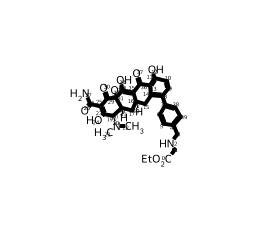 CCOC(=O)CNCc1ccc(-c2ccc(O)c3c2C[C@H]2C[C@H]4[C@H](N(C)C)C(O)=C(C(N)=O)C(=O)[C@@]4(O)C(O)=C2C3=O)cc1